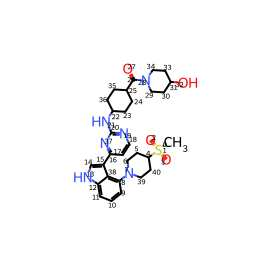 CS(=O)(=O)C1CCN(c2cccc3[nH]cc(-c4ccnc(NC5CCC(C(=O)N6CCC(O)CC6)CC5)n4)c23)CC1